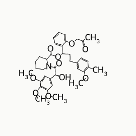 COc1cc(CCC(OC(=O)C2CCCCN2C(=O)[C@@H](O)c2cc(OC)c(OC)c(OC)c2)c2ccccc2OCC(C)=O)ccc1C